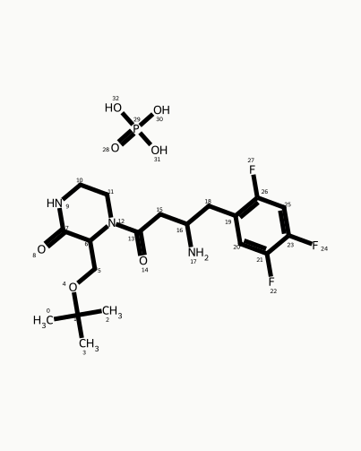 CC(C)(C)OCC1C(=O)NCCN1C(=O)CC(N)Cc1cc(F)c(F)cc1F.O=P(O)(O)O